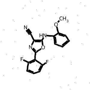 COc1ccccc1Nc1oc(-c2c(F)cccc2F)nc1C#N